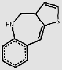 C1=CC2CNc3ccccc3C=C2S1